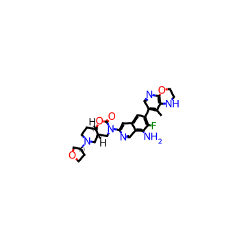 Cc1c(-c2cc3cc(N4C[C@@H]5CN([C@H]6CCOC6)CC[C@@H]5OC4=O)ncc3c(N)c2F)cnc2c1NCCO2